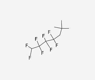 CC(C)(C)CC(F)(F)C(F)(F)C(F)(F)C(F)F